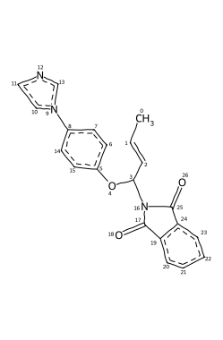 C/C=C/C(Oc1ccc(-n2ccnc2)cc1)N1C(=O)c2ccccc2C1=O